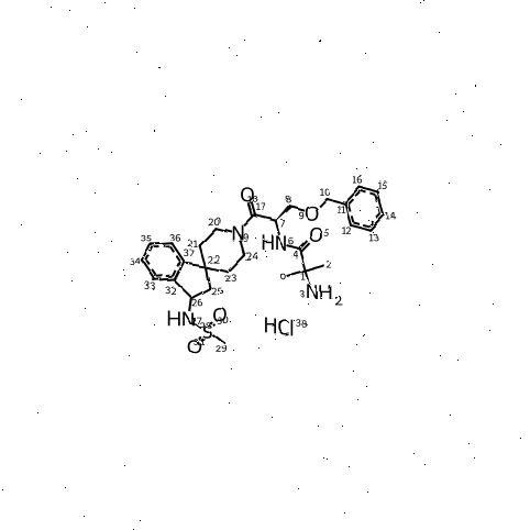 CC(C)(N)C(=O)N[C@H](COCc1ccccc1)C(=O)N1CCC2(CC1)CC(NS(C)(=O)=O)c1ccccc12.Cl